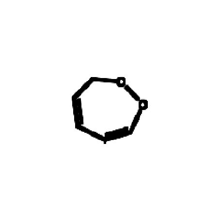 [C]1=COOCC=C1